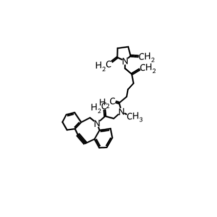 C=C(CCCC(=C)N(C)CC(=C)N1CC2=C(C#Cc3ccccc31)CCC=C2)CN1C(=C)CCC1=C